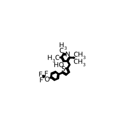 Cc1nc(C(C)C)c(Cc2ccc(-c3ccc(OC(F)(F)F)cc3)s2)c(O)c1C